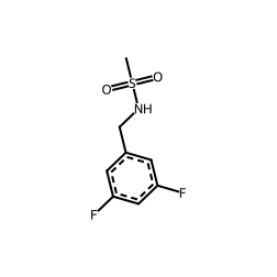 CS(=O)(=O)NCc1cc(F)cc(F)c1